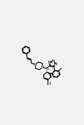 CCC1=CCC([C@@H](c2nnnn2-c2c(C)cccc2C)N2CCN(C/C=C/c3ccccc3)CC2)C=C1